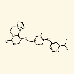 O=c1ncc(OCc2ccc(Oc3ccnc(C(F)F)c3)c(F)c2)c2n1CCC13CC(CN21)C3